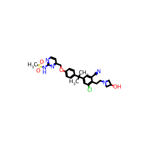 CC(C)(c1ccc(OCc2ccnc(NS(C)(=O)=O)n2)cc1)c1cc(Cl)c(CCN2CC(O)C2)c(C#N)c1